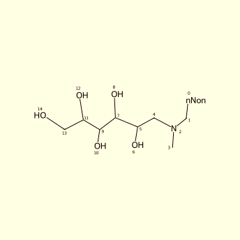 CCCCCCCCCCN(C)CC(O)C(O)C(O)C(O)CO